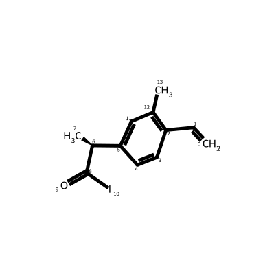 C=Cc1ccc([C@H](C)C(=O)I)cc1C